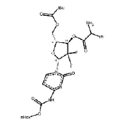 CCCCCCOC(=O)Nc1ccn([C@@H]2O[C@H](COC(=O)C(C)(C)C)[C@@H](OC(=O)C(N)C(C)C)C2(F)F)c(=O)n1